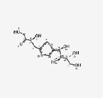 O=C(CO)[C@@H](O)Cc1cnc([C@@H](O)[C@H](O)[C@H](O)CO)cn1